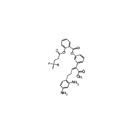 Nc1ccc(CCC=C(C(=O)O)c2cccc(OC(=O)c3ccccc3OC(=O)CCC(F)(F)F)c2)c(N)c1